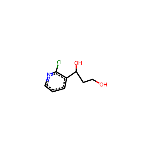 OCCC(O)c1cccnc1Cl